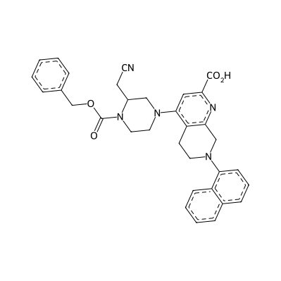 N#CCC1CN(c2cc(C(=O)O)nc3c2CCN(c2cccc4ccccc24)C3)CCN1C(=O)OCc1ccccc1